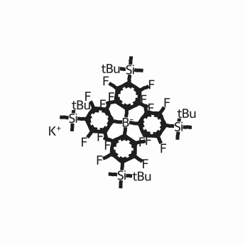 CC(C)(C)[Si](C)(C)c1c(F)c(F)c([B-](c2c(F)c(F)c([Si](C)(C)C(C)(C)C)c(F)c2F)(c2c(F)c(F)c([Si](C)(C)C(C)(C)C)c(F)c2F)c2c(F)c(F)c([Si](C)(C)C(C)(C)C)c(F)c2F)c(F)c1F.[K+]